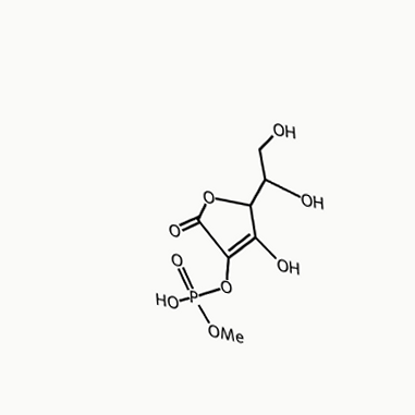 COP(=O)(O)OC1=C(O)C(C(O)CO)OC1=O